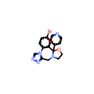 Brc1ccc2c(c1)C1(c3ccncc3)OCCN1Cc1nncn1-2